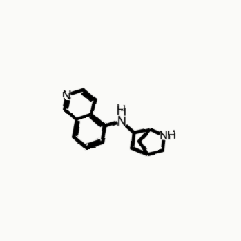 c1cc(NC2CC3CNC2C3)c2ccncc2c1